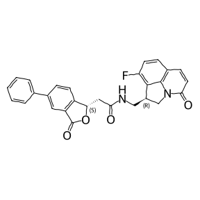 O=C(C[C@@H]1OC(=O)c2cc(-c3ccccc3)ccc21)NC[C@@H]1Cn2c(=O)ccc3ccc(F)c1c32